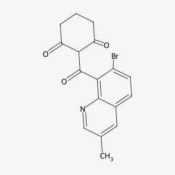 Cc1cnc2c(C(=O)C3C(=O)CCCC3=O)c(Br)ccc2c1